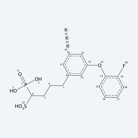 O=P(O)(O)C(CCCc1cccc(Oc2ccccc2F)c1)S(=O)(=O)O.[K].[K].[K]